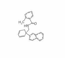 Cc1ccccc1C(=O)NCC1(c2ccc3ccccc3c2)C=CC=CC1